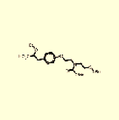 CCCCSCCN(CCOc1ccc(CC(OCC)C(=O)O)cc1)C(=O)OC